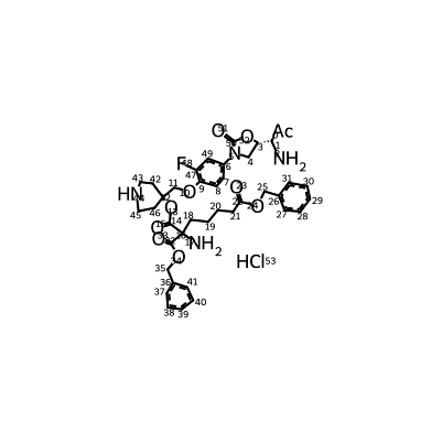 CC(=O)C(N)[C@@H]1CN(c2ccc(OCC3(OC(=O)C(N)(CCCCC(=O)OCc4ccccc4)C(=O)OCc4ccccc4)CCNCC3)c(F)c2)C(=O)O1.Cl